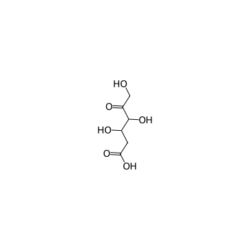 O=C(O)CC(O)C(O)C(=O)CO